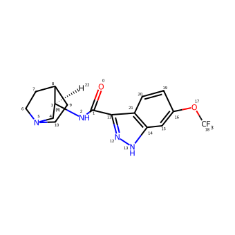 O=C(N[C@H]1CN2CCC1CC2)c1n[nH]c2cc(OC(F)(F)F)ccc12